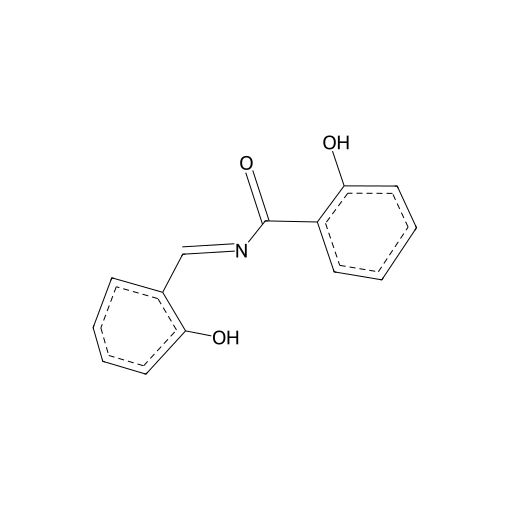 O=C(N=Cc1ccccc1O)c1ccccc1O